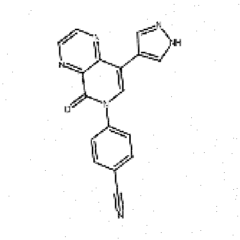 N#Cc1ccc(-n2cc(-c3cn[nH]c3)c3nccnc3c2=O)cc1